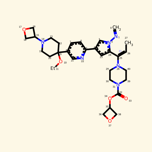 C=Nn1cc(-c2ccc(C3(OCC)CCN(C4COC4)CC3)cn2)cc1/C(=C\C)N1CCN(C(=O)OC2COC2)CC1